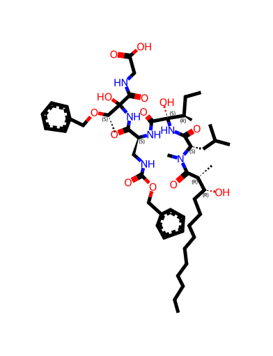 CCCCCCCCCC[C@@H](O)[C@@H](C)C(=O)N(C)[C@@H](CC(C)C)C(=O)N[C@@](O)(C(=O)N[C@@H](CNC(=O)OCc1ccccc1)C(=O)NC(O)(C(=O)NCC(=O)O)[C@H](C)OCc1ccccc1)[C@H](C)CC